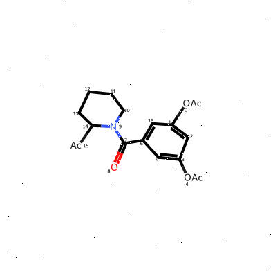 CC(=O)Oc1cc(OC(C)=O)cc(C(=O)N2CCCCC2C(C)=O)c1